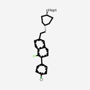 CCCCCCC[C@H]1CC[C@H](CCc2ccc3c(F)c(-c4ccc(Cl)cc4)ccc3c2)CC1